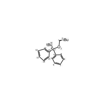 CC[C@H](C)CO[Si](c1ccccc1)(c1ccccc1)C(C)(C)C